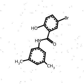 Cc1cc(C)cc(NC(=O)c2cc(Br)ccc2O)c1